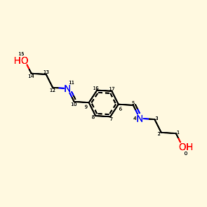 OCCCN=Cc1ccc(C=NCCCO)cc1